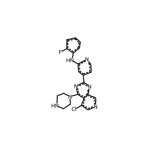 Fc1ccccc1Nc1cc(-c2nc(N3CCNCC3)c3c(Cl)cncc3n2)ccn1